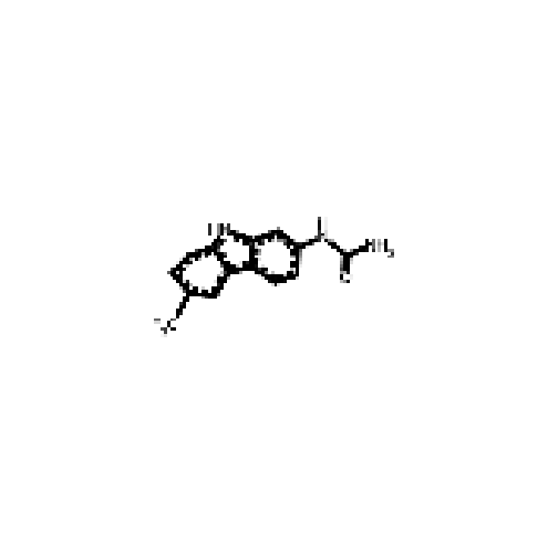 NC(=O)Nc1ccc2c(c1)[nH]c1ccc(C(F)(F)F)cc12